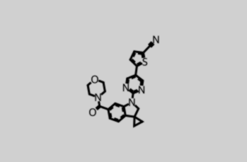 N#Cc1ccc(-c2cnc(N3CC4(CC4)c4ccc(C(=O)N5CCOCC5)cc43)nc2)s1